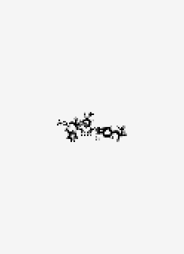 CC(=O)N1Cc2cnnn2[C@H](C(=O)N2C[C@H](O)C[C@H]2C(=O)N[C@@H](C)c2ccc(-c3scnc3C)cc2)C(C)(C)C1